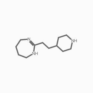 C1CCNC(CCC2CCNCC2)=NC1